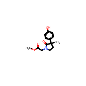 COC(=O)CN1CCC(C)(c2ccc(O)cc2)C1=O